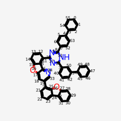 c1ccc(-c2ccc(C3=NC(c4cccc5oc6cc(-c7cccc8c7oc7ccccc78)cnc6c45)=NC(c4cccc(-c5ccccc5)c4)N3)cc2)cc1